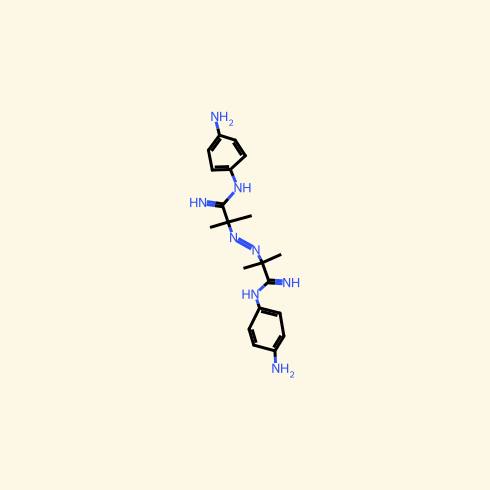 CC(C)(N=NC(C)(C)C(=N)Nc1ccc(N)cc1)C(=N)Nc1ccc(N)cc1